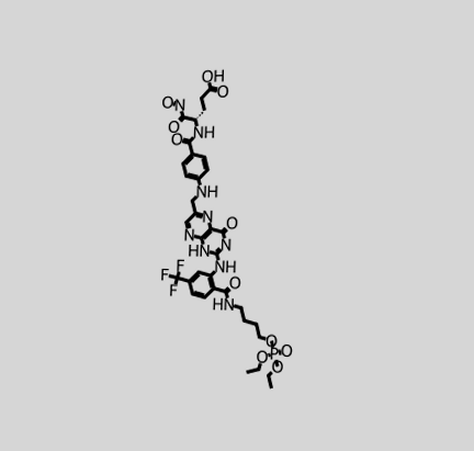 CCOP(=O)(OCC)OCCCCNC(=O)c1ccc(C(F)(F)F)cc1Nc1nc(=O)c2nc(CNc3ccc(C(=O)N[C@@H](CCC(=O)O)C(=O)N=O)cc3)cnc2[nH]1